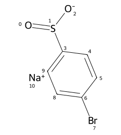 O=S([O-])c1ccc(Br)cc1.[Na+]